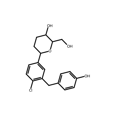 OCC1OC(c2ccc(Cl)c(Cc3ccc(O)cc3)c2)CCC1O